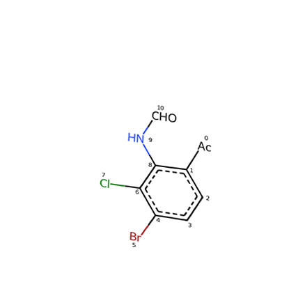 CC(=O)c1ccc(Br)c(Cl)c1NC=O